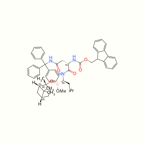 COB(O[C@]1(C)CC[C@@H]2C[C@H]1C2(C)C)[C@H](CC(C)C)NC(=O)[C@H](CC(=O)NC(c1ccccc1)(c1ccccc1)c1ccccc1)NC(=O)OCC1c2ccccc2-c2ccccc21